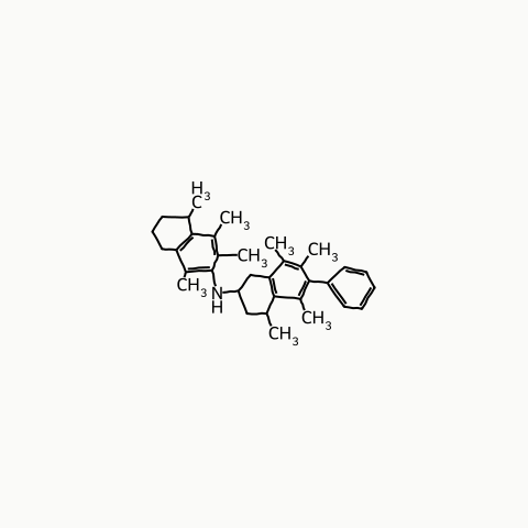 Cc1c(C)c(-c2ccccc2)c(C)c2c1CC(Nc1c(C)c(C)c3c(c1C)CCCC3C)CC2C